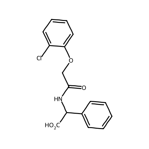 O=C(COc1ccccc1Cl)NC(C(=O)O)c1ccccc1